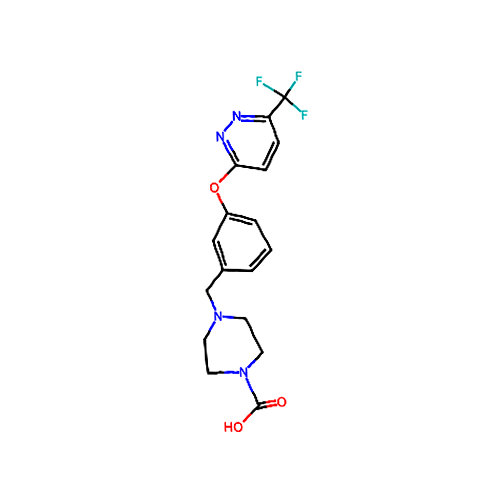 O=C(O)N1CCN(Cc2cccc(Oc3ccc(C(F)(F)F)nn3)c2)CC1